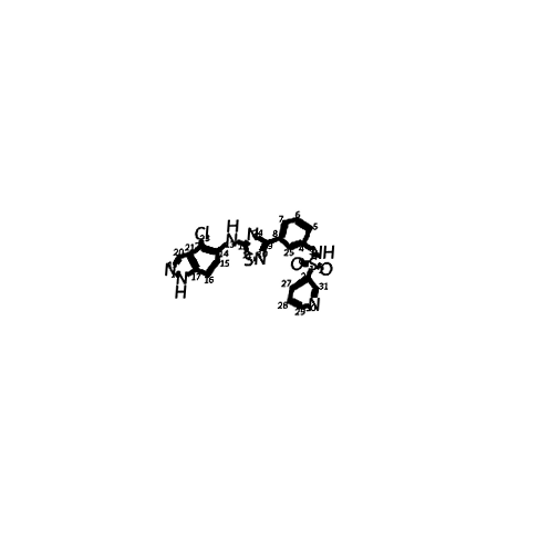 O=S(=O)(Nc1cccc(-c2nsc(Nc3ccc4[nH]ncc4c3Cl)n2)c1)c1cccnc1